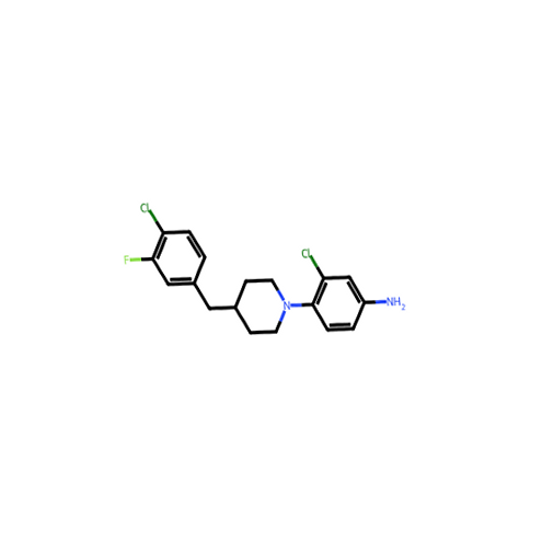 Nc1ccc(N2CCC(Cc3ccc(Cl)c(F)c3)CC2)c(Cl)c1